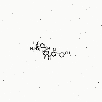 Cc1ccc(Nc2ncc(F)c(Nc3ccc(OC4CCCN(C)C4)c(Cl)c3)n2)cc1S(N)(=O)=O